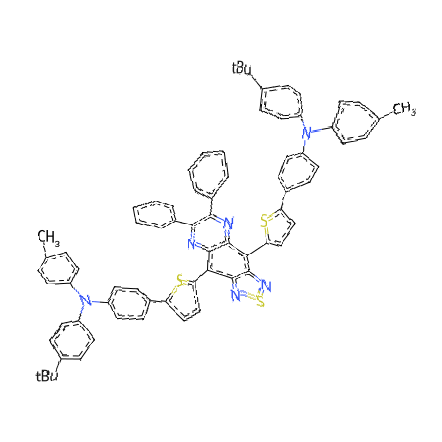 Cc1ccc(N(c2ccc(-c3ccc(-c4c5nsnc5c(-c5ccc(-c6ccc(N(c7ccc(C)cc7)c7ccc(C(C)(C)C)cc7)cc6)s5)c5nc(-c6ccccc6)c(-c6ccccc6)nc45)s3)cc2)c2ccc(C(C)(C)C)cc2)cc1